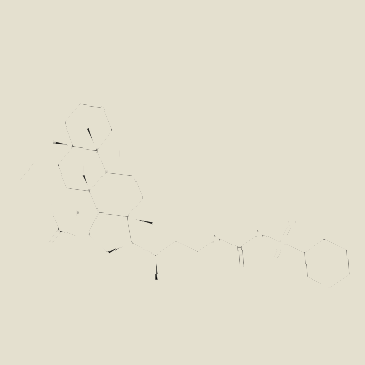 CC[C@H]1[C@@H](OC(C)=O)[C@@H]2[C@H](CC[C@]3(C)[C@@H]([C@H](C)CCNC(=O)NS(=O)(=O)C4CCCCC4)CC[C@@H]23)[C@@]2(C)CC[C@@H](O)C[C@@H]12